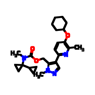 Cc1nc(-c2cnn(C)c2COC(=O)N(C)C2(C3CC3)CC2)ccc1OC1CCCCC1